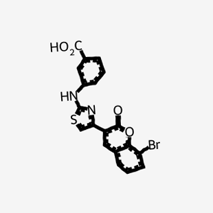 O=C(O)c1cccc(Nc2nc(-c3cc4cccc(Br)c4oc3=O)cs2)c1